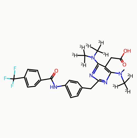 [2H]C([2H])([2H])N(C)c1nc(Cc2ccc(NC(=O)c3ccc(C(F)(F)F)cc3)cc2)nc(N(C([2H])([2H])[2H])C([2H])([2H])[2H])c1CC(=O)O